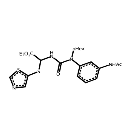 CCCCCCN(C(=O)NC(Sc1cncs1)C(=O)OCC)c1cccc(NC(C)=O)c1